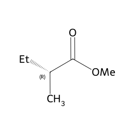 CC[C@@H](C)C(=O)OC